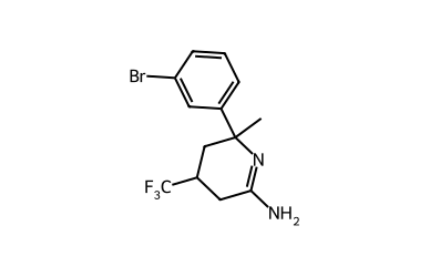 CC1(c2cccc(Br)c2)CC(C(F)(F)F)CC(N)=N1